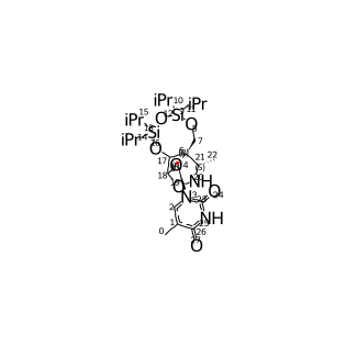 Cc1cn([C@@H]2O[C@]34CO[Si](C(C)C)(C(C)C)O[Si](C(C)C)(C(C)C)OC3C2ON[C@H]4C)c(=O)[nH]c1=O